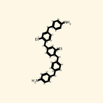 CCc1cc(Cc2ccc(N)cc2)ccc1Cc1ccc(Cc2ccc(Cc3ccc(N)cc3)cc2)c(CC)c1